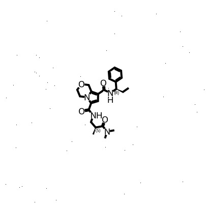 CC[C@@H](NC(=O)c1cc(C(=O)NC[C@H](C)C(=O)N(C)C)n2c1COCC2)c1ccccc1